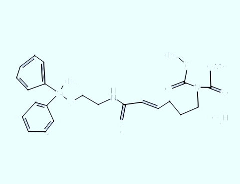 COC(=O)N(C(=O)OC(C)(C)C)[C@@H](CC/C=C/C(=O)NCCO[Si](c1ccccc1)(c1ccccc1)C(C)(C)C)C(=O)O